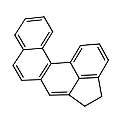 c1ccc2c(c1)ccc1cc3c4c(cccc4c12)CC3